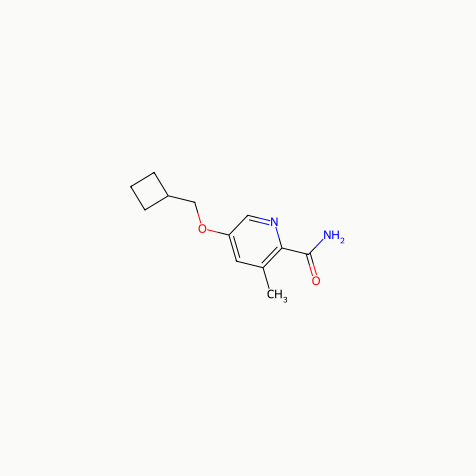 Cc1cc(OCC2CCC2)cnc1C(N)=O